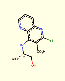 CCCC[C@@H](CO)Nc1c(C(=O)O)c(Cl)nc2cccnc12